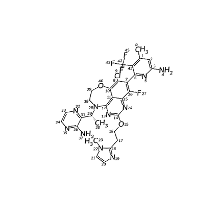 Cc1cc(N)nc(-c2c(Cl)c3c4c(nc(OCCc5nccn5C)nc4c2F)N([C@H](C)c2nccnc2N)CCO3)c1C(F)(F)F